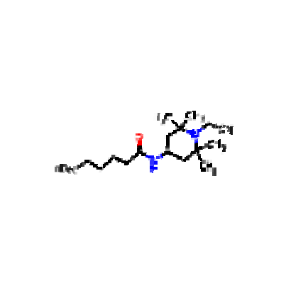 CCCCCCCCCCCCCCC(=O)NC1CC(C)(C)N(CC#N)C(C)(C)C1